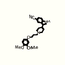 COc1ccc(OCCCN2CCC(c3c[nH]c4ccc(C#N)cc34)CC2)cc1OC